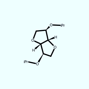 CC(C)O[C@@H]1CO[C@@H]2[C@H]1OC[C@H]2OC(C)C